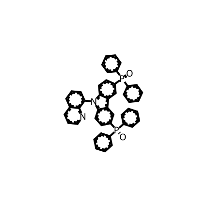 O=P(c1ccccc1)(c1ccccc1)c1ccc2c(c1)c1cc(P(=O)(c3ccccc3)c3ccccc3)ccc1n2-c1cccc2cccnc12